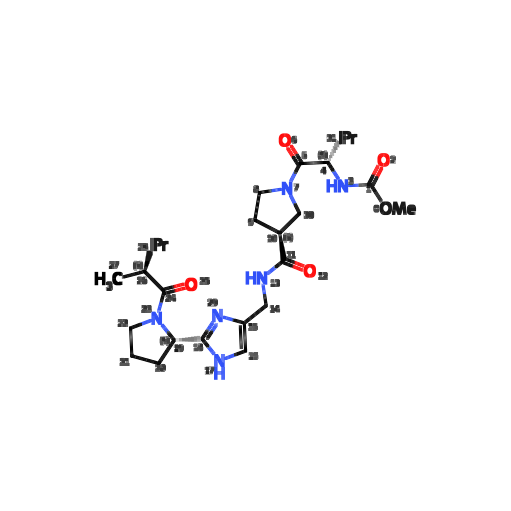 COC(=O)N[C@H](C(=O)N1CC[C@H](C(=O)NCc2c[nH]c([C@@H]3CCCN3C(=O)[C@@H](C)C(C)C)n2)C1)C(C)C